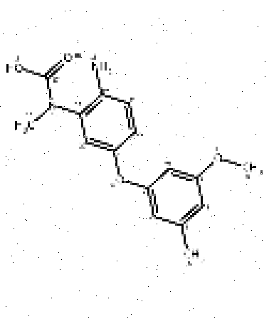 COc1cc(C)cc(Oc2ccc(N)c(N(C)C(=O)O)c2)c1